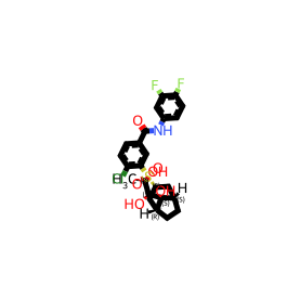 C[C@H](O)[C@H](O)[C@@]1(O)[C@@H]2CC[C@H]1C[C@H](S(=O)(=O)c1cc(C(=O)Nc3ccc(F)c(F)c3)ccc1Cl)C2